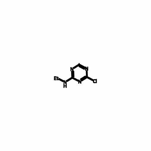 CCNc1n[c]nc(Cl)n1